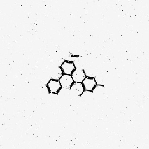 Cc1cc(C)c(C(=O)c2ccccc2-c2ccccc2)c(C)c1.O=[P]